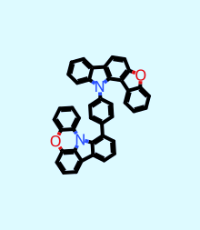 c1ccc2c(c1)Oc1cccc3c4cccc(-c5ccc(-n6c7ccccc7c7ccc8oc9ccccc9c8c76)cc5)c4n-2c13